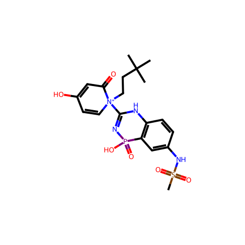 CC(C)(C)CC[N+]1(C2=NP(=O)(O)c3cc(NS(C)(=O)=O)ccc3N2)C=CC(O)=CC1=O